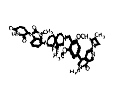 COc1cc(-c2cn(C)c(=O)c3cnc(N4CC(C)C4)cc23)cc(OC)c1CN1CCC2(CCN(c3cccc4c3n(C)c(=O)n4C3CCC(=O)NC3=O)CC2)C(F)(F)C1